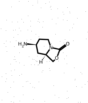 N[C@H]1CCN2C(=O)OC[C@H]2C1